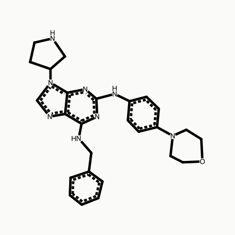 c1ccc(CNc2nc(Nc3ccc(N4CCOCC4)cc3)nc3c2ncn3C2CCNC2)cc1